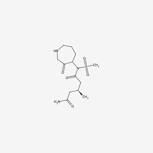 C[C@@H](CC(N)=O)CC(=O)N(C1CCCNCC1=O)S(C)(=O)=O